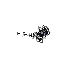 CCCCCCCCCCCCOC(=O)c1cc(NC(=O)/C(=N\c2ccc(N(CC)CCO)cc2C)c2nc3ccccc3c(=O)n2CC(=O)O)c(Cl)cc1Cl